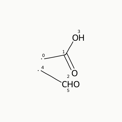 [CH2]C(=O)O.[CH2]C=O